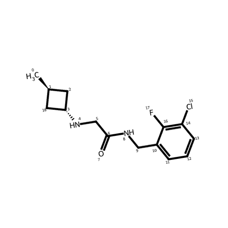 C[C@H]1C[C@H](NCC(=O)NCc2cccc(Cl)c2F)C1